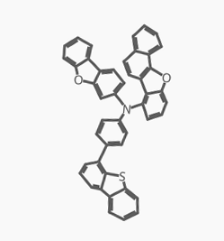 c1ccc2c(c1)ccc1c2oc2cccc(N(c3ccc(-c4cccc5c4sc4ccccc45)cc3)c3ccc4c(c3)oc3ccccc34)c21